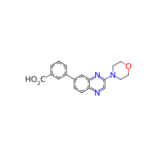 O=C(O)c1cccc(-c2ccc3ncc(N4CCOCC4)nc3c2)c1